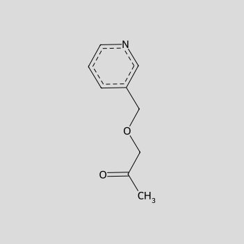 CC(=O)COCc1cccnc1